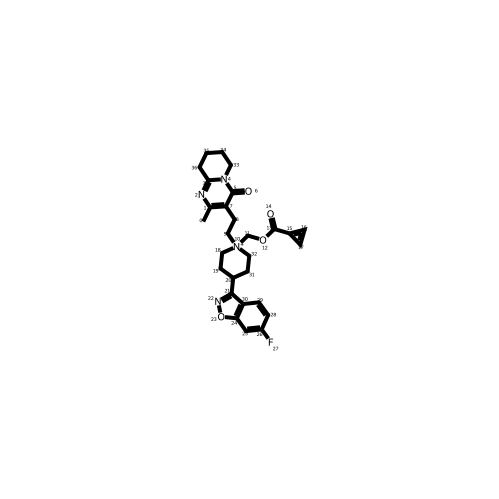 Cc1nc2n(c(=O)c1CC[N+]1(COC(=O)C3=C=C3)CCC(c3noc4cc(F)ccc34)CC1)CCCC2